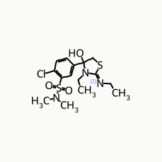 CC/N=C1\SCC(O)(c2ccc(Cl)c(S(=O)(=O)N(C)C)c2)N1CC